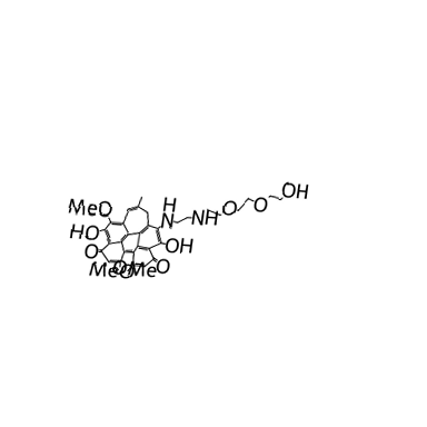 COc1c(O)c2c(=O)cc(OC)c3c4c(OC)cc(=O)c5c(O)c(NCCNCCOCCOCCO)c6c(c(c1C=C(C)C6)c23)c54